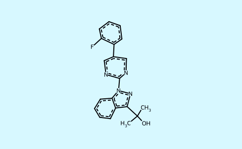 CC(C)(O)c1nn(-c2ncc(-c3ccccc3F)cn2)c2ccccc12